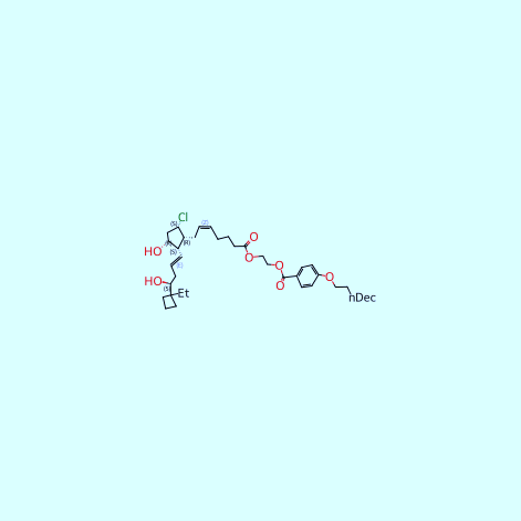 CCCCCCCCCCCCOc1ccc(C(=O)OCCOC(=O)CCC/C=C\C[C@@H]2[C@H](/C=C/C[C@H](O)C3(CC)CCC3)[C@H](O)C[C@@H]2Cl)cc1